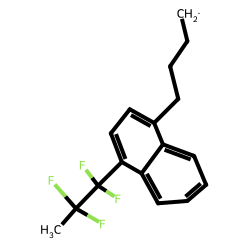 [CH2]CCCc1ccc(C(F)(F)C(C)(F)F)c2ccccc12